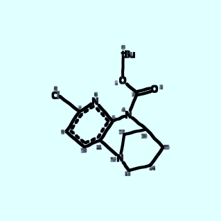 CC(C)(C)OC(=O)N1c2nc(Cl)ccc2N2CCCC1C2